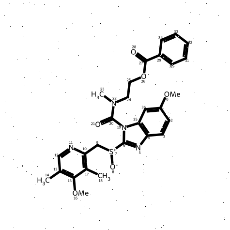 COc1ccc2nc([S+]([O-])Cc3ncc(C)c(OC)c3C)n(C(=O)N(C)CCOC(=O)c3ccccc3)c2c1